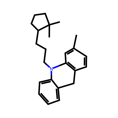 Cc1ccc2c(c1)N(CCCC1CCCC1(C)C)c1ccccc1C2